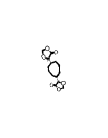 O=C1OCO[C@H]1C1CCCC([C@@H]2OCOC2=O)CCC1